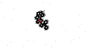 CC1(C)c2ccccc2-c2c(N(c3ccc(-c4cccc5c4c4ccccc4n5-c4ccccc4)cc3)c3ccccc3-c3ccccc3)cccc21